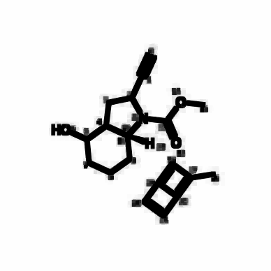 C#CC1CC2C(O)CCC[C@H]2N1C(=O)OC.Cc1cc2ccc1-2